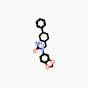 NC(=O)N(CC1CCC(c2ccccc2)CC1)c1ccc2c(c1)OCO2